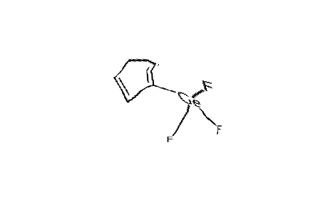 [F][Ge]([F])([F])[C]1=[C]CC=C1